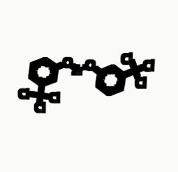 ClC(Cl)(Cl)c1cccc([O][Zr][O]c2cccc(C(Cl)(Cl)Cl)c2)c1